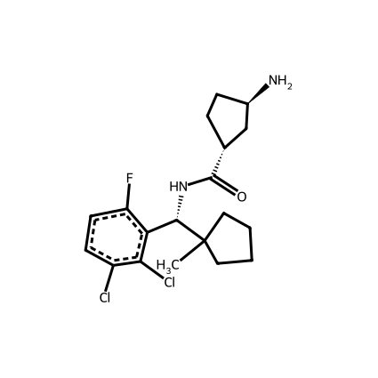 CC1([C@@H](NC(=O)[C@@H]2CC[C@@H](N)C2)c2c(F)ccc(Cl)c2Cl)CCCC1